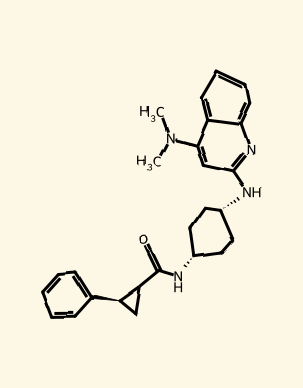 CN(C)c1cc(N[C@H]2CC[C@@H](NC(=O)C3C[C@H]3c3ccccc3)CC2)nc2ccccc12